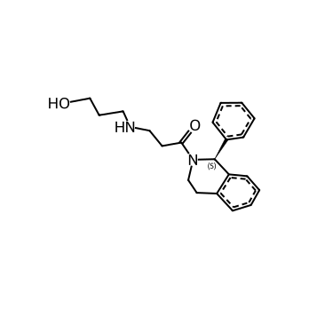 O=C(CCNCCCO)N1CCc2ccccc2[C@@H]1c1ccccc1